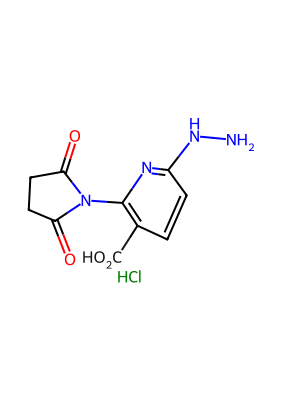 Cl.NNc1ccc(C(=O)O)c(N2C(=O)CCC2=O)n1